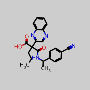 CCCC(C(=O)O)(C(=O)NC(C)c1ccc(C#N)cc1)c1cnc2ccccc2n1